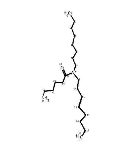 CCCCCCCCN(CCCCCCCC)C(=O)CCCCC